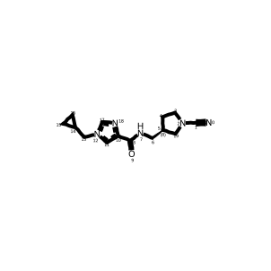 N#CN1CC[C@H](CNC(=O)c2cn(CC3CC3)cn2)C1